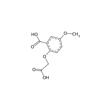 COc1ccc(OCC(=O)O)c(C(=O)O)c1